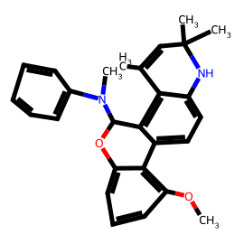 COc1cccc2c1-c1ccc3c(c1C(N(C)c1ccccc1)O2)C(C)=CC(C)(C)N3